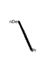 [CH2]CCCCCCCCCCCCCCCCCCCCCCCCCCCSCCCCCCCCCCCCCCCCCCCC(C)C